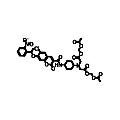 CC(=O)OCOC(=O)CN(CC(=O)OCOC(C)=O)[C@H]1CC[C@H](NC(=O)c2cc3cc(Cl)c(OC(C)c4ccccc4[N+](=O)[O-])cc3oc2=O)CC1